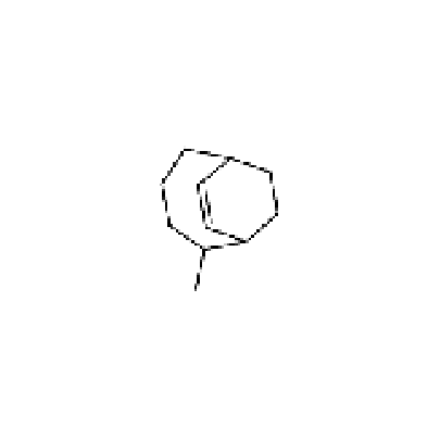 C[C]1CCCC2C=CC1CC2